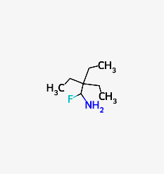 CCC(CC)(CC)C(N)F